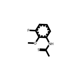 COc1c(F)cccc1NC(C)=S